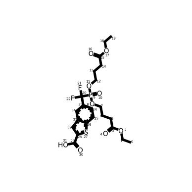 CCOC(=O)CCCOP(=O)(OCCCC(=O)OCC)C(F)(F)c1ccc2sc(C(=O)O)cc2c1